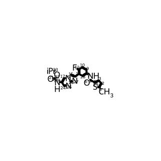 Cc1ccc(C(=O)Nc2ccc(F)c(-c3cn4cc(NC(=O)OC(C)C)cnc4n3)c2)s1